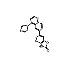 O=c1[nH]c2ncc(-c3ccc4nccc(-c5ccncc5)c4c3)cc2o1